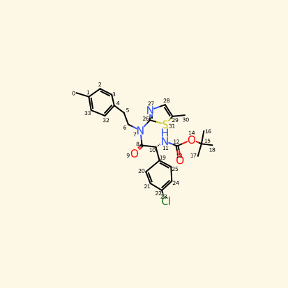 Cc1ccc(CCN(C(=O)[C@H](NC(=O)OC(C)(C)C)c2ccc(Cl)cc2)c2ncc(C)s2)cc1